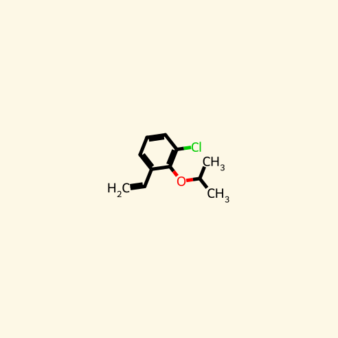 C=Cc1cccc(Cl)c1OC(C)C